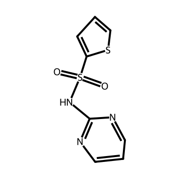 O=S(=O)(Nc1ncccn1)c1cccs1